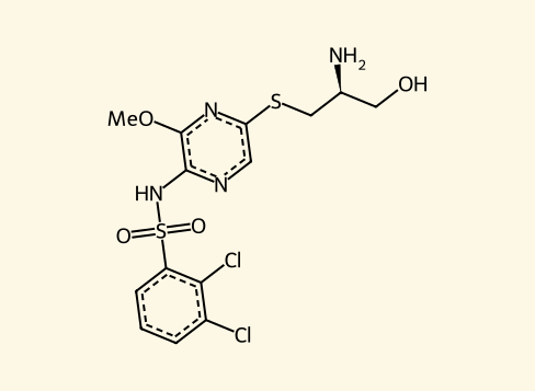 COc1nc(SC[C@@H](N)CO)cnc1NS(=O)(=O)c1cccc(Cl)c1Cl